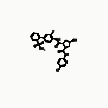 CS(=O)(=O)c1ccccc1-c1ccc(NC(=O)[C@H]2C[C@@H](O)CN2C(=O)Nc2ccc(Cl)cn2)c(F)c1